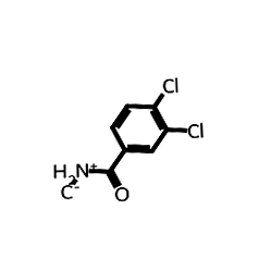 [CH2-][NH2+]C(=O)c1ccc(Cl)c(Cl)c1